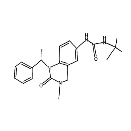 C[C@@H](c1ccccc1)N1C(=O)N(C)Cc2cc(NC(=O)NC(C)(C)C)ccc21